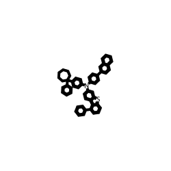 c1ccc(-c2cccc3sc4cc(N(c5ccc(-c6ccc7ccccc7c6)cc5)c5ccc(C6(c7ccccc7)CCCCCC6)cc5)ccc4c23)cc1